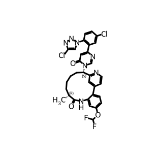 C[C@@H]1CCCC[C@H](n2cnc(-c3cc(Cl)ccc3-n3cc(Cl)nn3)cc2=O)c2cc(ccn2)-c2ccc(OC(F)F)cc2NC1=O